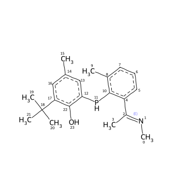 C/N=C(\C)c1cccc(C)c1Pc1cc(C)cc(C(C)(C)C)c1O